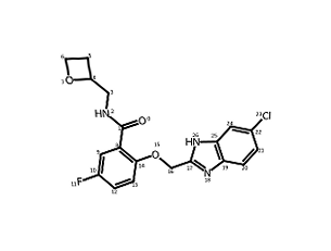 O=C(NCC1CCO1)c1cc(F)ccc1OCc1nc2ccc(Cl)cc2[nH]1